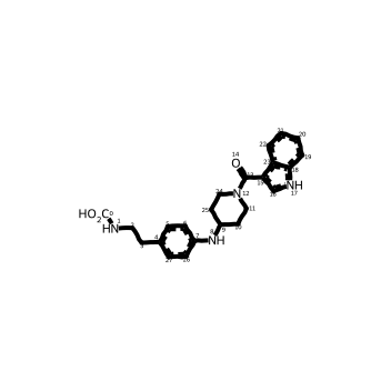 O=C(O)NCCc1ccc(NC2CCN(C(=O)c3c[nH]c4ccccc34)CC2)cc1